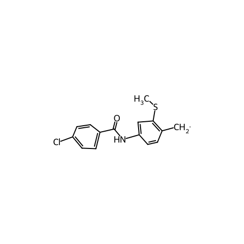 [CH2]c1ccc(NC(=O)c2ccc(Cl)cc2)cc1SC